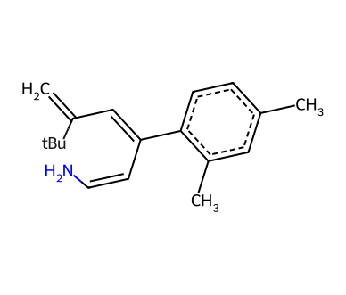 C=C(/C=C(\C=C/N)c1ccc(C)cc1C)C(C)(C)C